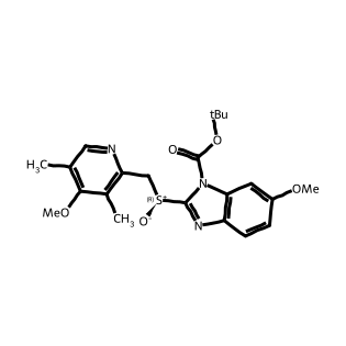 COc1ccc2nc([S@@+]([O-])Cc3ncc(C)c(OC)c3C)n(C(=O)OC(C)(C)C)c2c1